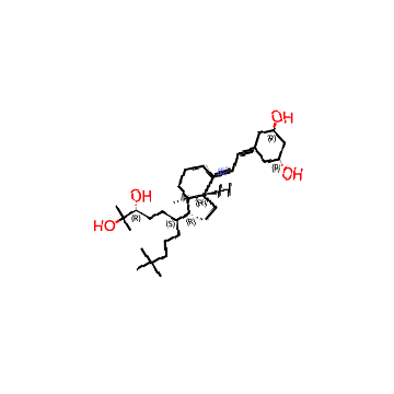 CC(C)(C)CCC[C@@H](CC[C@@H](O)C(C)(C)O)[C@H]1CC[C@H]2/C(=C/C=C3C[C@@H](O)C[C@H](O)C3)CCC[C@]12C